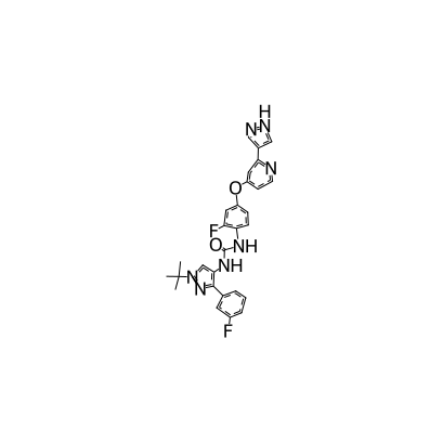 CC(C)(C)n1cc(NC(=O)Nc2ccc(Oc3ccnc(-c4cn[nH]c4)c3)cc2F)c(-c2cccc(F)c2)n1